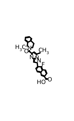 CCc1cc(C(=O)N2CCc3ccccc3[C@H]2C)nc2cc(-c3ccc4cc(C(=O)O)ccc4c3F)nn12